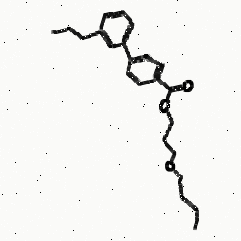 CCCCOCCCOC(=O)c1ccc(-c2cccc(CCC)c2)cc1